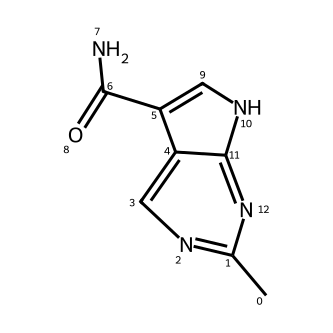 Cc1ncc2c(C(N)=O)c[nH]c2n1